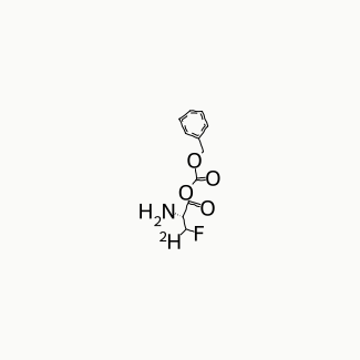 [2H]C(F)[C@H](N)C(=O)OC(=O)OCc1ccccc1